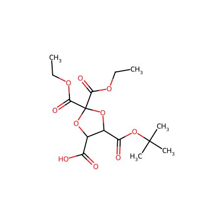 CCOC(=O)C1(C(=O)OCC)OC(C(=O)O)C(C(=O)OC(C)(C)C)O1